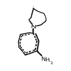 Nc1cccc(N2C[CH]CC2)c1